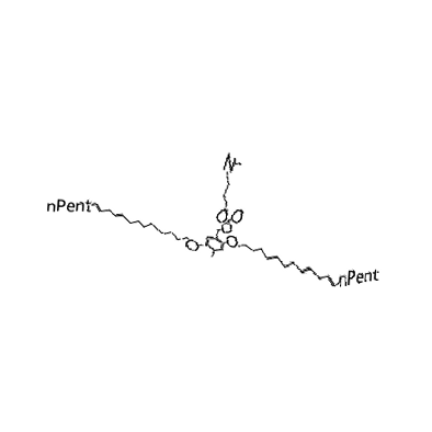 CCCCCC=CCC=CCCCCCCCCOc1cc(COC(=O)OCCCCN(C)C)c(OCCCCCCCCC=CCC=CCCCCC)cc1C